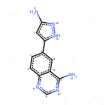 Nc1cc(-c2ccc3ncnc(N)c3c2)[nH]n1